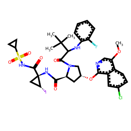 COc1cnc(O[C@@H]2C[C@@H](C(=O)N[C@]3(C(=O)NS(=O)(=O)C4CC4)C[C@H]3I)N(C(=O)C(Nc3ccccc3F)C(C)(C)C)C2)c2cc(Cl)ccc12